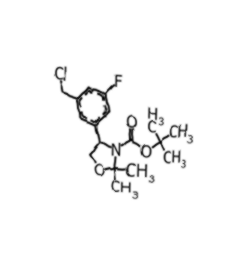 CC(C)(C)OC(=O)N1C(c2cc(F)cc(CCl)c2)COC1(C)C